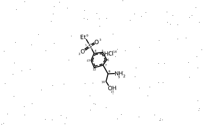 CCS(=O)(=O)c1ccc(C(N)CO)cc1.Cl